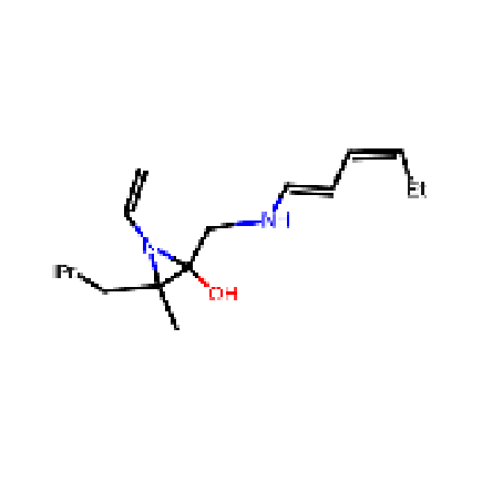 C=CN1C(C)(CC(C)C)C1(O)CNC=C/C=C\CC